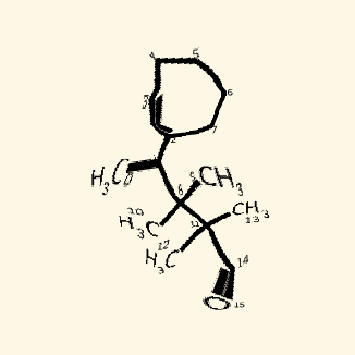 CC(C1=CCCCC1)C(C)(C)C(C)(C)C=O